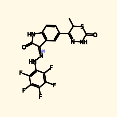 CC1SC(=O)NN=C1c1ccc2c(c1)/C(=N/Nc1c(F)c(F)c(F)c(F)c1F)C(=O)N2